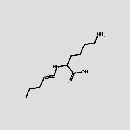 CCC/C=C/NC(CCCCN)C(=O)O